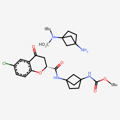 CC(C)(C)N(C(=O)O)C12CCC(N)(C1)C2.CC(C)(C)OC(=O)NC12CCC(NC(=O)[C@H]3CC(=O)c4cc(Cl)ccc4O3)(C1)C2